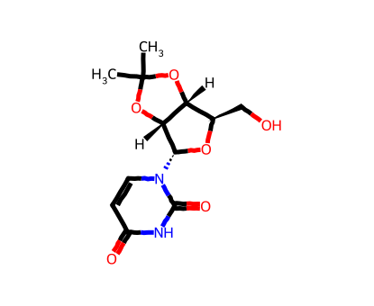 CC1(C)O[C@@H]2[C@H](O1)[C@@H](CO)O[C@@H]2n1ccc(=O)[nH]c1=O